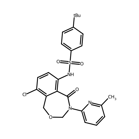 Cc1cccc(N2COCc3c(Cl)ccc(NS(=O)(=O)c4ccc(C(C)(C)C)cc4)c3C2=O)n1